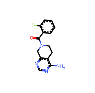 Nc1ncnc2c1CCN(C(=O)c1ccccc1F)C2